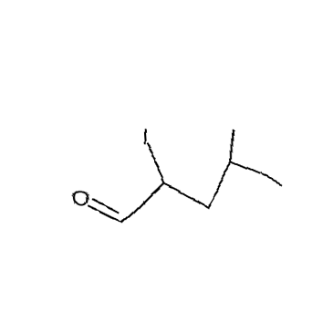 CC(C)CC(I)C=O